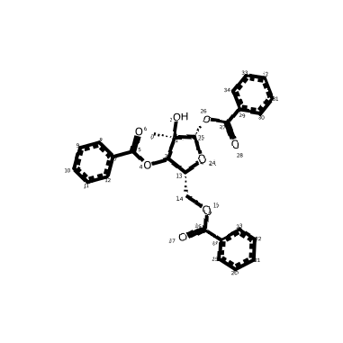 C[C@@]1(O)C(OC(=O)c2ccccc2)[C@@H](COC(=O)c2ccccc2)O[C@H]1OC(=O)c1ccccc1